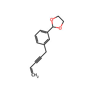 C=CC#CCc1cccc(C2OCCO2)c1